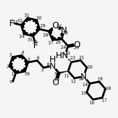 Cc1cccc(CCNC(=O)[C@@H]2CN(C3CCCCC3)CC[C@H]2NC(=O)c2cc(-c3ccc(F)cc3F)on2)c1